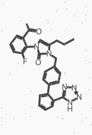 CCCc1cn(-c2c(F)cccc2C(C)=O)c(=O)n1Cc1ccc(-c2ccccc2-c2nnn[nH]2)cc1